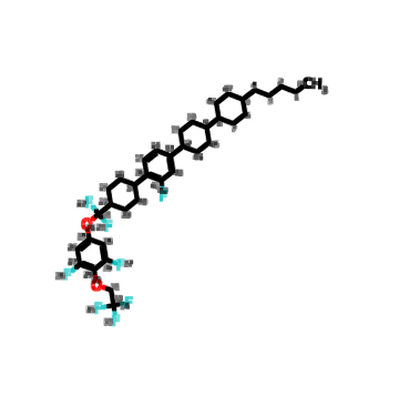 CCCCCC1CCC(C2CCC(c3ccc(C4CCC(C(F)(F)Oc5cc(F)c(OCC(F)(F)F)c(F)c5)CC4)c(F)c3)CC2)CC1